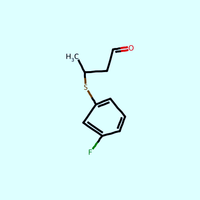 CC(CC=O)Sc1cccc(F)c1